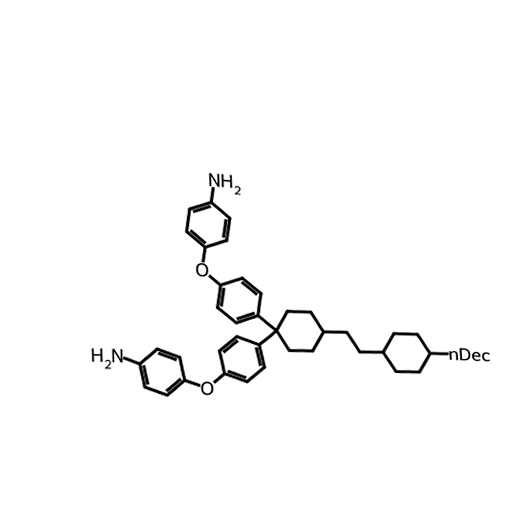 CCCCCCCCCCC1CCC(CCC2CCC(c3ccc(Oc4ccc(N)cc4)cc3)(c3ccc(Oc4ccc(N)cc4)cc3)CC2)CC1